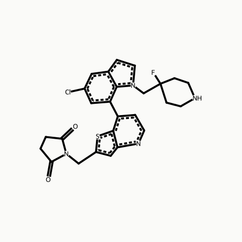 O=C1CCC(=O)N1Cc1cc2nccc(-c3cc(Cl)cc4ccn(CC5(F)CCNCC5)c34)c2s1